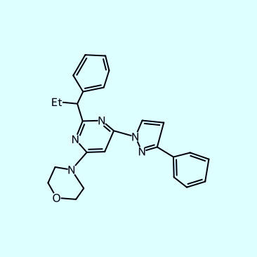 CCC(c1ccccc1)c1nc(N2CCOCC2)cc(-n2ccc(-c3ccccc3)n2)n1